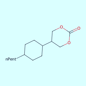 CCCCCC1CCC(C2COC(=O)OC2)CC1